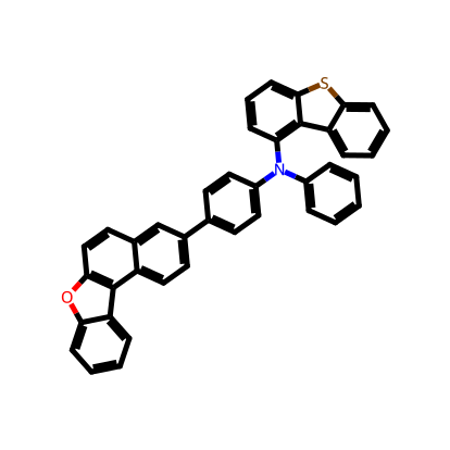 c1ccc(N(c2ccc(-c3ccc4c(ccc5oc6ccccc6c54)c3)cc2)c2cccc3sc4ccccc4c23)cc1